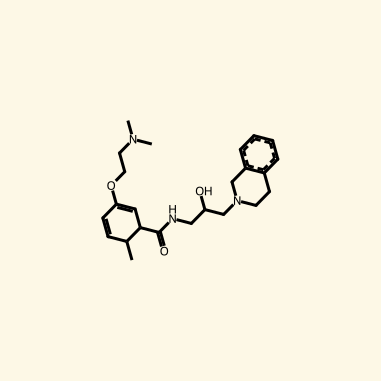 CC1C=CC(OCCN(C)C)=CC1C(=O)NCC(O)CN1CCc2ccccc2C1